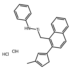 CC1=CCC(c2ccc3ccccc3c2[CH2][Ti][NH]c2ccccc2)=C1.Cl.Cl